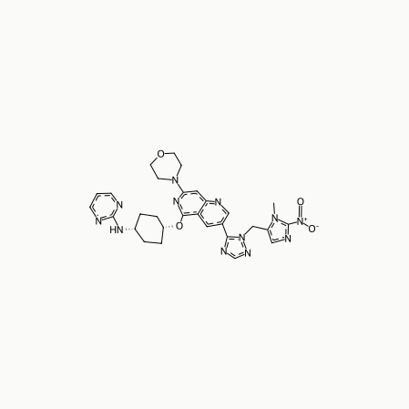 Cn1c(Cn2ncnc2-c2cnc3cc(N4CCOCC4)nc(O[C@H]4CC[C@@H](Nc5ncccn5)CC4)c3c2)cnc1[N+](=O)[O-]